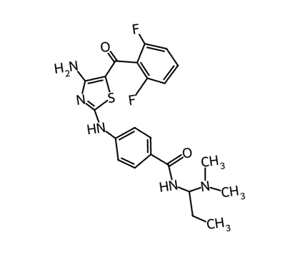 CCC(NC(=O)c1ccc(Nc2nc(N)c(C(=O)c3c(F)cccc3F)s2)cc1)N(C)C